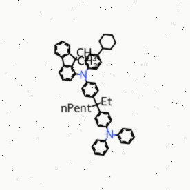 CCCCCC(CC)(c1ccc(N(c2ccccc2)c2ccccc2)cc1)c1ccc(N(c2ccc(C3CCCCC3)cc2)c2cccc3c2C(C)(C)c2ccccc2-3)cc1